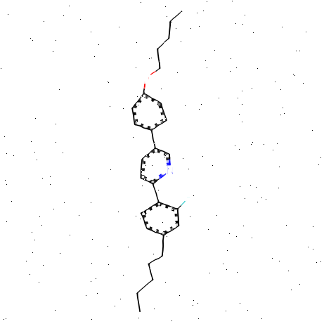 CCCCCOc1ccc(-c2ccc(-c3ccc(CCCCC)cc3F)nc2)cc1